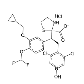 Cl.O=C([O-])[C@@]1([C@@H](Cc2c(Cl)c[n+](O)cc2Cl)c2ccc(OC(F)F)c(OCC3CC3)c2)NCCS1